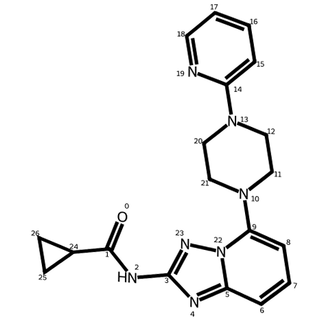 O=C(Nc1nc2cccc(N3CCN(c4ccccn4)CC3)n2n1)C1CC1